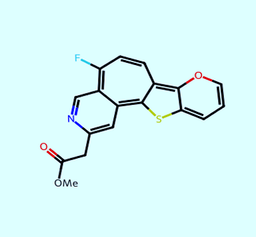 COC(=O)Cc1cc2c(cn1)=C(F)C=Cc1c3c(sc1=2)=CC=CO3